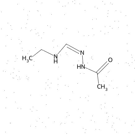 CCN/C=N\NC(C)=O